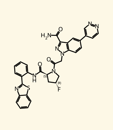 NC(=O)c1nn(CC(=O)N2C[C@H](F)C[C@H]2C(=O)Nc2ccccc2-c2nc3ccccc3s2)c2ccc(-c3ccnnc3)cc12